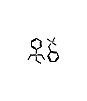 CC[N+](CC)(CC)c1ccccc1.C[N+](C)(C)Cc1ccccc1